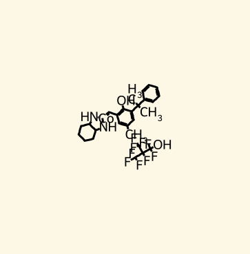 Cc1cc([CH]=[Co]2[NH]C3CCCCC3[NH]2)c(O)c(C(C)(C)c2ccccc2)c1.OC(F)(F)C(F)(C(F)(F)F)C(F)(F)F